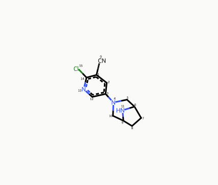 N#Cc1cc(N2CC3CCC(C2)N3)cnc1Cl